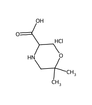 CC1(C)CNC(C(=O)O)CO1.Cl